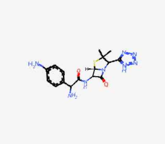 CC1(C)S[C@H]2C(NC(=O)C(N)c3ccc(N)cc3)C(=O)N2C1c1nnn[nH]1